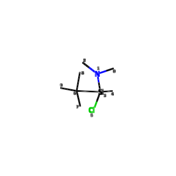 CN(C)[Si](C)(Cl)C(C)(C)C